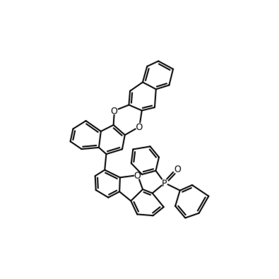 O=P(c1ccccc1)(c1ccccc1)c1cccc2c1oc1c(-c3cc4c(c5ccccc35)Oc3cc5ccccc5cc3O4)cccc12